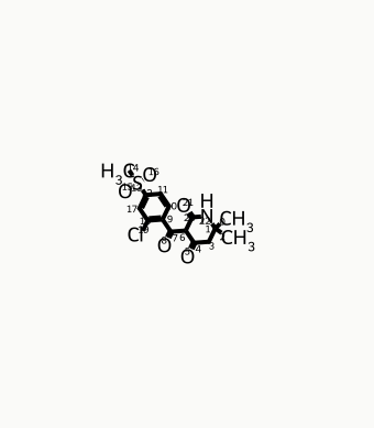 CC1(C)CC(=O)C(C(=O)c2ccc(S(C)(=O)=O)cc2Cl)C(=O)N1